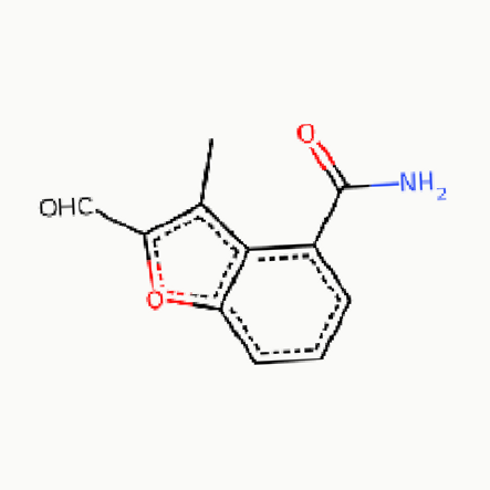 Cc1c(C=O)oc2cccc(C(N)=O)c12